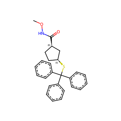 CONC(=O)[C@@H]1CC[C@H](SC(c2ccccc2)(c2ccccc2)c2ccccc2)C1